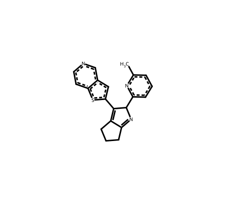 Cc1cccc(C2N=C3CCCC3=C2c2cc3cnccc3s2)n1